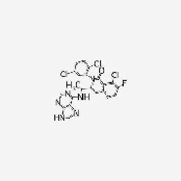 C[C@@H](Nc1ncnc2[nH]cnc12)c1cc2ccc(F)c(Cl)c2c(=O)n1-c1cc(Cl)ccc1Cl